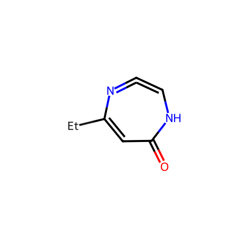 CCC1=CC(=O)NC=C=N1